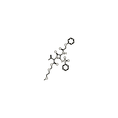 C=C(C)C(C(=O)OCOCCOC)N1C(=O)C(NC(=O)COc2ccccc2)C1SS(=O)(=O)c1ccccc1